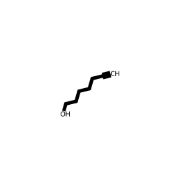 C#CCCCCCO